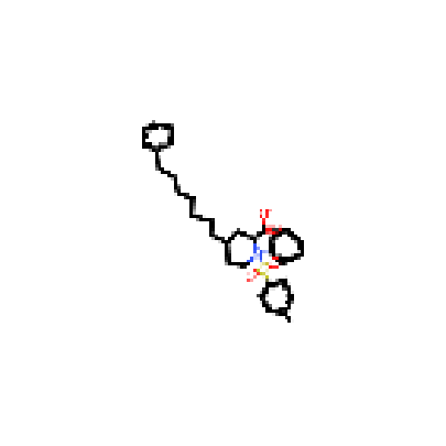 Cc1ccc(S(=O)(=O)[N+]2(c3ccccc3)CCC(CCCCCCCc3ccccc3)CC2C(=O)[O-])cc1